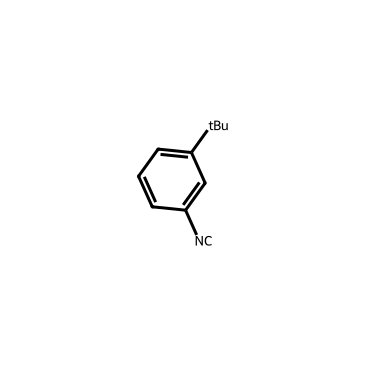 [C-]#[N+]c1cccc(C(C)(C)C)c1